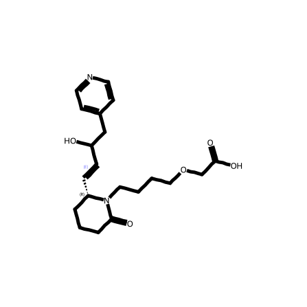 O=C(O)COCCCCN1C(=O)CCC[C@@H]1/C=C/C(O)Cc1ccncc1